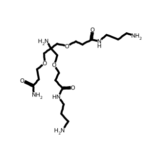 NCCCNC(=O)CCOCC(N)(COCCC(N)=O)COCCC(=O)NCCCN